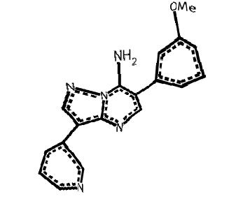 COc1cccc(-c2cnc3c(-c4cccnc4)cnn3c2N)c1